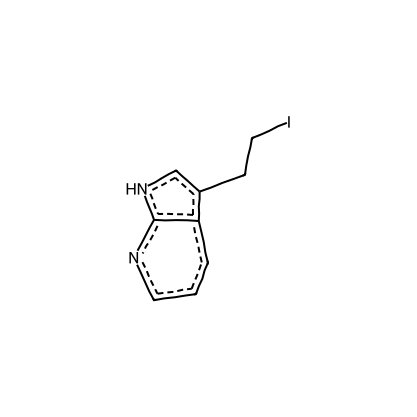 ICCc1c[nH]c2ncccc12